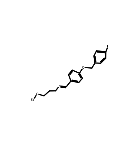 CCOCCCN=Cc1ccc(OCc2ccc(F)cc2)cc1